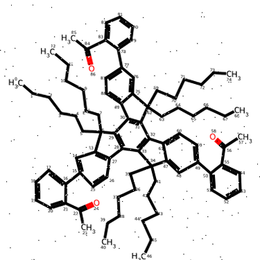 CCCCCCC1(CCCCCC)c2cc(-c3ccccc3C(C)=O)ccc2-c2c1c1c(c3c2C(CCCCCC)(CCCCCC)c2cc(-c4ccccc4C(C)=O)ccc2-3)C(CCCCCC)(CCCCCC)c2cc(-c3ccccc3C(C)=O)ccc2-1